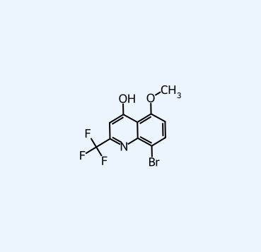 COc1ccc(Br)c2nc(C(F)(F)F)cc(O)c12